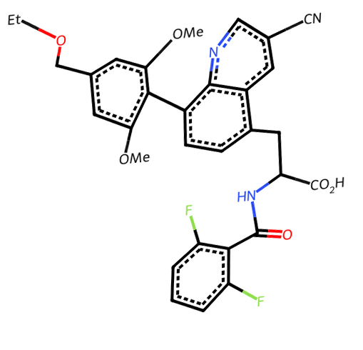 CCOCc1cc(OC)c(-c2ccc(CC(NC(=O)c3c(F)cccc3F)C(=O)O)c3cc(C#N)cnc23)c(OC)c1